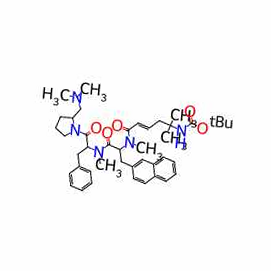 CN(C)CC1CCCN1C(=O)C(Cc1ccccc1)N(C)C(=O)C(Cc1ccc2ccccc2c1)N(C)C(=O)/C=C/CC(C)(C)NC(=O)OC(C)(C)C